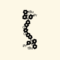 CC(C)c1ccc(N(c2ccc3cc4c(cc3c2)oc2cc3oc5cc6cc(N(c7ccc(C(C)C)cc7)c7cccc8c7oc7c(C(C)(C)C)cccc78)ccc6cc5c3cc24)c2cccc3c2oc2c(C(C)(C)C)cccc23)cc1